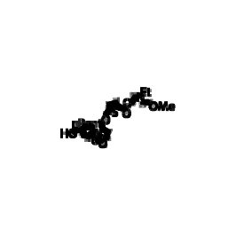 CCCCCC(O)c1ccc(N2C(COCc3ccc(C(=O)OCCN(CC)CCOC)s3)CCS2(=O)=O)cc1